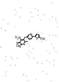 Cc1nc2nonc2c(N)c1Cc1ccc(-c2ccc(C#N)s2)nc1